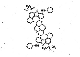 C[Si](C)(C)c1cc2cccc(-c3ccc4ccc5c(-c6cccc7cc([Si](C)(C)C)c8oc9c(Nc%10ccccc%10)cccc9c8c67)ccc6ccc3c4c65)c2c2c1oc1c(Nc3ccccc3)cccc12